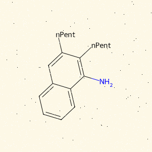 CCCCCc1cc2ccccc2c(N)c1CCCCC